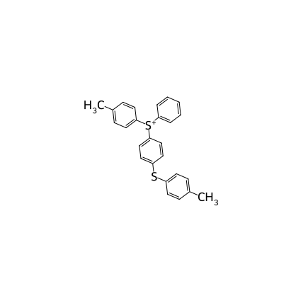 Cc1ccc(Sc2ccc([S+](c3ccccc3)c3ccc(C)cc3)cc2)cc1